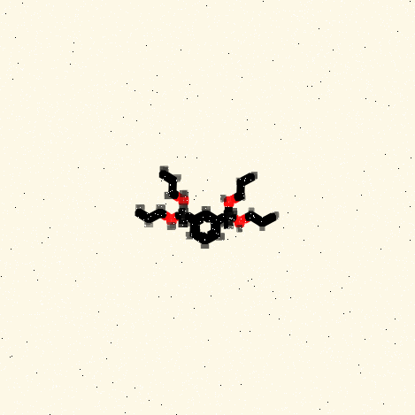 CCCO[SiH](OCCC)c1cccc([SiH](OCCC)OCCC)c1